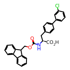 O=C(N[C@@H](Cc1ccc(-c2cccc(Cl)c2)cc1)C(=O)O)OCC1c2ccccc2-c2ccccc21